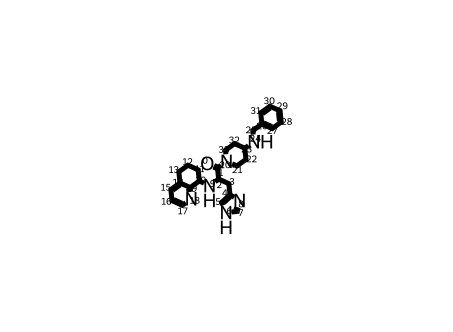 O=C(C(Cc1c[nH]cn1)NC1CCCc2cccnc21)N1CCC(NCc2ccccc2)CC1